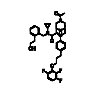 CC(=O)N1CC2CC(c3ccc(CCCOc4c(F)ccc(F)c4F)cc3)=C(C(=O)N(Cc3ccccc3CCO)C3CC3)C(C1)N2